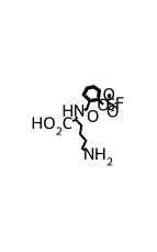 NCCCCC(NC(=O)c1ccccc1OS(=O)(=O)F)C(=O)O